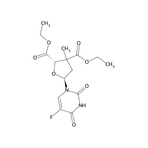 CCOC(=O)[C@H]1O[C@H](n2cc(F)c(=O)[nH]c2=O)CC1(C)C(=O)OCC